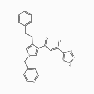 O=C(C=C(O)c1nn[nH]n1)c1cn(Cc2ccncc2)cc1CCc1ccccc1